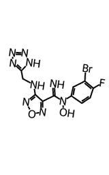 N=C(c1nonc1NCc1nnn[nH]1)N(O)c1ccc(F)c(Br)c1